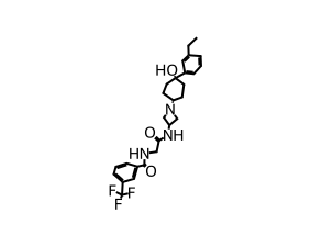 CCc1cccc([C@]2(O)CC[C@H](N3CC(NC(=O)CNC(=O)c4cccc(C(F)(F)F)c4)C3)CC2)c1